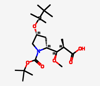 CO[C@@H]([C@H]1C[C@@H](O[Si](C)(C)C(C)(C)C)CN1C(=O)OC(C)(C)C)[C@@H](C)C(=O)O